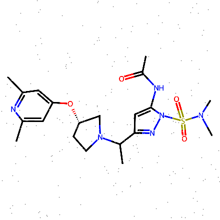 CC(=O)Nc1cc(C(C)N2CC[C@H](Oc3cc(C)nc(C)c3)C2)nn1S(=O)(=O)N(C)C